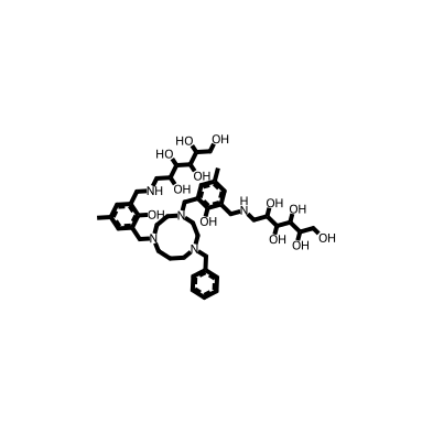 Cc1cc(CNCC(O)C(O)C(O)C(O)CO)c(O)c(CN2CCCN(Cc3ccccc3)CCN(Cc3cc(C)cc(CNCC(O)C(O)C(O)C(O)CO)c3O)CC2)c1